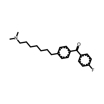 CN(C)CCCCCCCc1ccc(C(=O)c2ccc(F)cc2)cc1